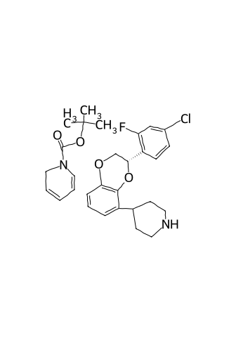 CC(C)(C)OC(=O)N1C=CC=CC1.Fc1cc(Cl)ccc1[C@H]1COc2cccc(C3CCNCC3)c2O1